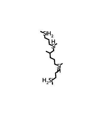 C[SiH2]CCC[SiH](C)CCCC(C)C[SiH](C)CCC[SiH2]C